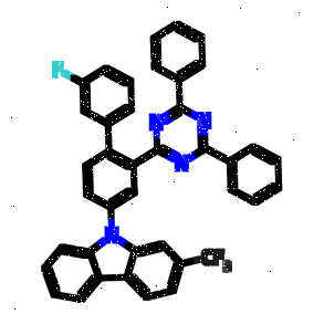 Fc1cccc(-c2ccc(-n3c4ccccc4c4ccc(C(F)(F)F)cc43)cc2-c2nc(-c3ccccc3)nc(-c3ccccc3)n2)c1